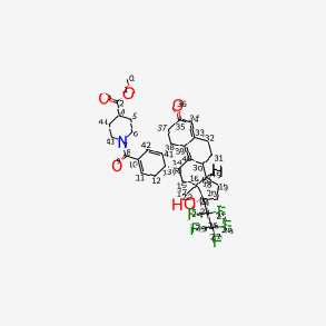 COC(=O)C1CCN(C(=O)C2=CCC([C@H]3CC4(C)[C@@H](CC[C@@]4(O)C(F)(F)C(F)(F)F)C4CCC5=CC(=O)CCC5=C43)C=C2)CC1